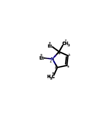 CCN1C(C)C=CC1(C)CC